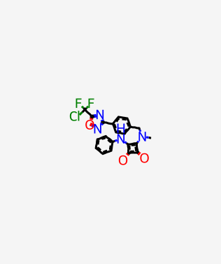 CN(Cc1ccc(-c2noc(C(F)(F)Cl)n2)cc1)c1c(Nc2ccccc2)c(=O)c1=O